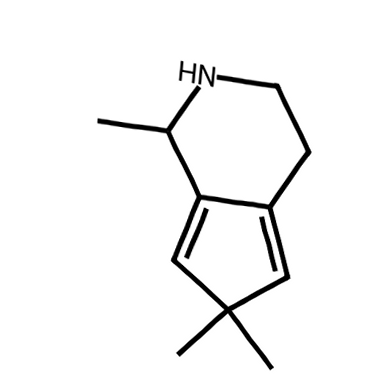 CC1NCCC2=CC(C)(C)C=C21